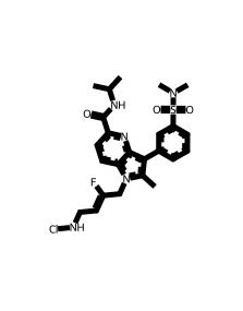 Cc1c(-c2cccc(S(=O)(=O)N(C)C)c2)c2nc(C(=O)NC(C)C)ccc2n1C/C(F)=C/CNCl